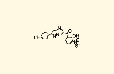 O=C(c1cnc2cc(-c3ccc(Cl)cc3)nn2c1)c1cccc([N+](=O)[O-])c1O